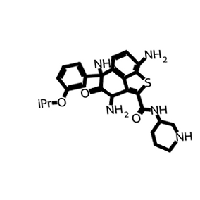 CC(C)Oc1cccc(C2(N)C(=O)C(N)c3c(C(=O)NC4CCCNC4)sc4c(N)ccc2c34)c1